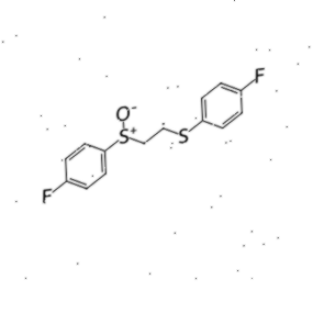 [O-][S+](C[CH]Sc1ccc(F)cc1)c1ccc(F)cc1